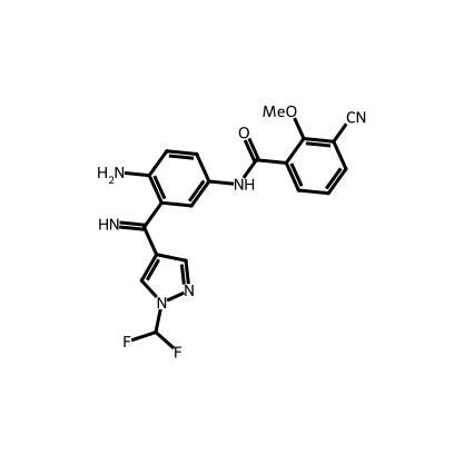 COc1c(C#N)cccc1C(=O)Nc1ccc(N)c(C(=N)c2cnn(C(F)F)c2)c1